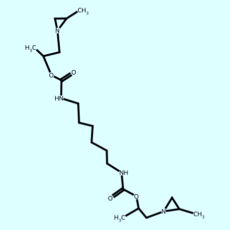 CC(CN1CC1C)OC(=O)NCCCCCCNC(=O)OC(C)CN1CC1C